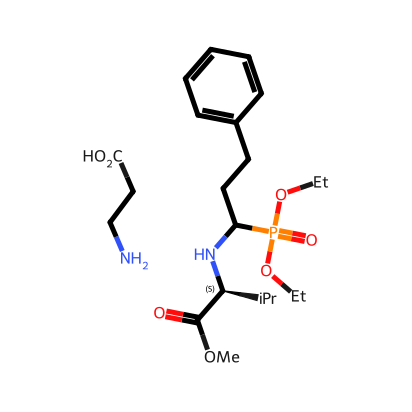 CCOP(=O)(OCC)C(CCc1ccccc1)N[C@H](C(=O)OC)C(C)C.NCCC(=O)O